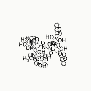 CC(=O)NC1CC(C(=O)NCCNC(=O)C2CC(OCc3cc4ccccc4oc3=O)C(O)[C@H](O[C@@H]3OC(CO)[C@H](O)C(OCc4cc5ccccc5oc4=O)C3O)C2)C[C@@H](O[C@@H]2OC(CO)[C@H](O)C(O[C@@H](CC3CCCCC3)C(=O)O)C2NC(C)=O)C1O[C@@H]1OC(C)[C@@H](O)C(O)C1O